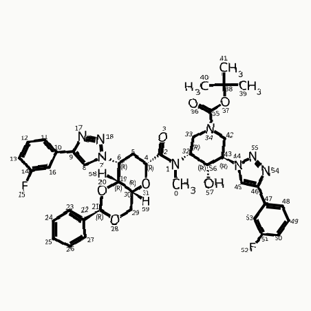 CN(C(=O)[C@H]1C[C@@H](n2cc(-c3cccc(F)c3)nn2)[C@H]2O[C@H](c3ccccc3)OC[C@H]2O1)[C@@H]1CN(C(=O)OC(C)(C)C)C[C@@H](n2cc(-c3cccc(F)c3)nn2)[C@@H]1O